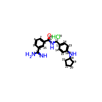 Cl.N=C(N)c1cccc(C(=O)NCc2ccc(NC3CCCC3)cc2)c1